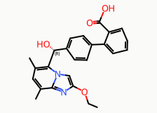 CCOc1cn2c([C@H](O)c3ccc(-c4ccccc4C(=O)O)cc3)c(C)cc(C)c2n1